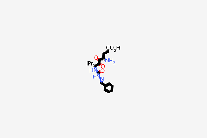 CC(C)[C@@H](NC(=O)N/N=C/c1ccccc1)C(=O)C(=O)[C@@H](N)CCC(=O)O